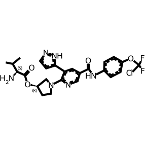 CC(C)[C@H](N)C(=O)O[C@@H]1CCN(c2ncc(C(=O)Nc3ccc(OC(F)(F)Cl)cc3)cc2-c2ccn[nH]2)C1